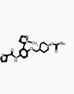 Cn1nccc1-c1cc(NC(=O)c2cccs2)ccc1OCC1CCN(OC(=O)C(C)(C)C)CC1